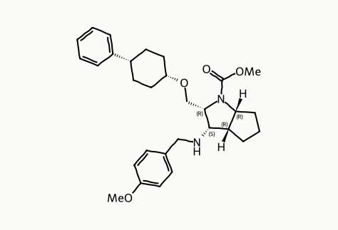 COC(=O)N1[C@@H]2CCC[C@@H]2[C@H](NCc2ccc(OC)cc2)[C@@H]1CO[C@H]1CC[C@@H](c2ccccc2)CC1